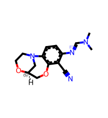 CN(C)/C=N/c1ccc2c(c1C#N)OC[C@@H]1CN2CCO1